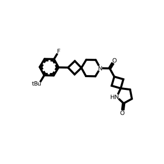 CC(C)(C)c1ccc(F)c(C2CC3(CCN(C(=O)C4CC5(CCC(=O)N5)C4)CC3)C2)c1